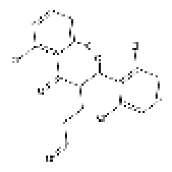 O=PCCC(C(=O)c1c(Cl)cccc1Cl)C(=O)c1c(Cl)cccc1Cl